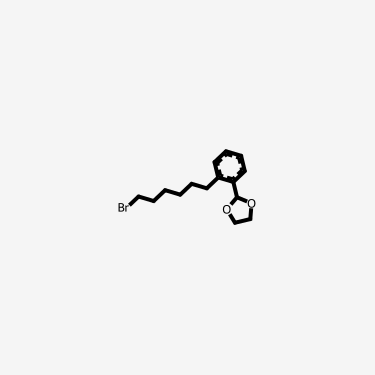 BrCCCCCCc1ccccc1C1OCCO1